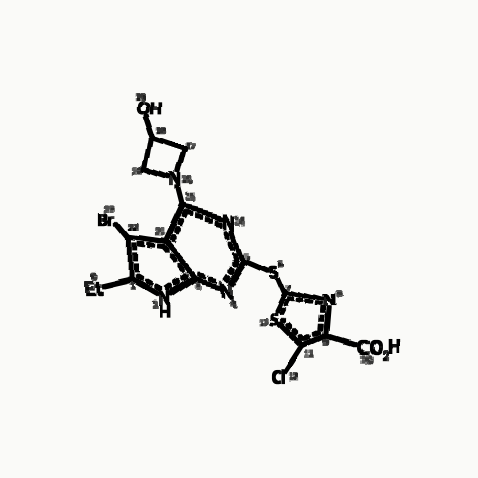 CCc1[nH]c2nc(Sc3nc(C(=O)O)c(Cl)s3)nc(N3CC(O)C3)c2c1Br